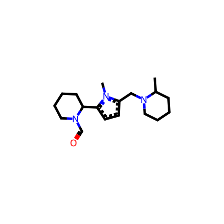 CC1CCCCN1Cc1ccc(C2CCCCN2C=O)n1C